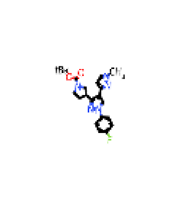 Cn1ccc(-c2cn(-c3ccc(F)cc3)nc2C2CCN(C(=O)OC(C)(C)C)C2)n1